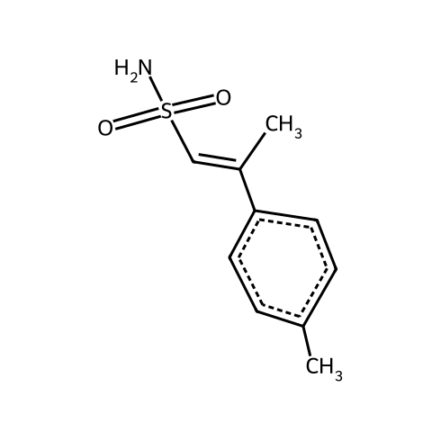 CC(=CS(N)(=O)=O)c1ccc(C)cc1